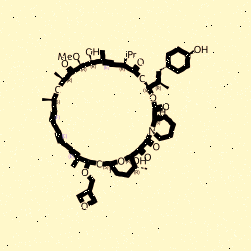 CO[C@H]1C(=O)[C@H](C)C[C@H](C)/C=C/C=C/C=C(\C)C(OCC2COC2)C[C@@H]2CC[C@@H](C)[C@@](O)(O2)C(=O)C(=O)N2CCCC[C@H]2C(=O)O[C@H]([C@H](C)C[C@H]2CC[C@H](O)CC2)CC(=O)[C@H](C(C)C)/C=C(\C)[C@H]1O